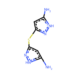 Nc1cc(Sc2cc(N)[nH]n2)n[nH]1